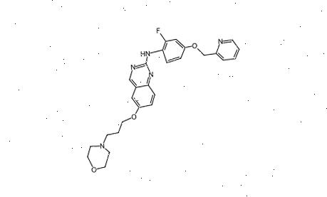 Fc1cc(OCc2ccccn2)ccc1Nc1ncc2cc(OCCCN3CCOCC3)ccc2n1